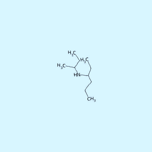 CCCC(CC)NC(C)CC